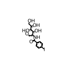 O=C[C@H](NC(=O)c1ccc(I)cc1)[C@@H](O)[C@H](O)[C@H](O)CO